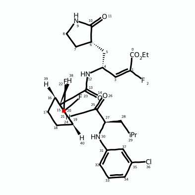 CCOC(=O)/C(F)=C\[C@@H](C[C@@H]1CCNC1=O)NC(=O)[C@H]1[C@H]2CC[C@H](CC2(F)F)N1C(=O)[C@@H](CC(C)C)Nc1cccc(Cl)c1